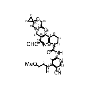 COCCNc1cc(NC(=O)N2CCCc3cc(CN4CC5(CC5)OCC4=O)c(C=O)nc32)ncc1C#N